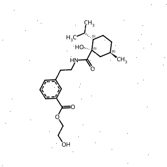 CC(C)[C@@H]1CC[C@@H](C)C[C@@]1(O)C(=O)NCCc1cccc(C(=O)OCCO)c1